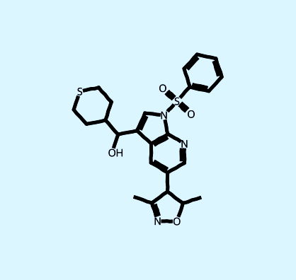 CC1=NOC(C)C1c1cnc2c(c1)c(C(O)C1CCSCC1)cn2S(=O)(=O)c1ccccc1